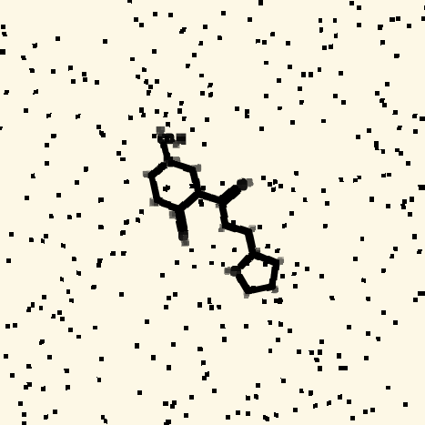 O=C(CCC1CCCO1)C1CN(C(=O)O)CCC1=O